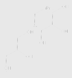 CC(=O)CC(C)C.OCC(O)CO.OCC(O)CO